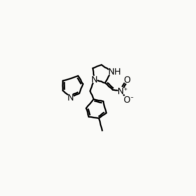 Cc1ccc(CN2CCNC2=C[N+](=O)[O-])cc1.c1ccncc1